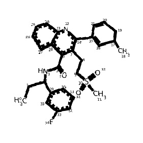 CCC(NC(=O)c1c(CCS(C)(=O)=O)c(C2=CC(C)CC=C2)nc2ccccc12)c1cccc(F)c1